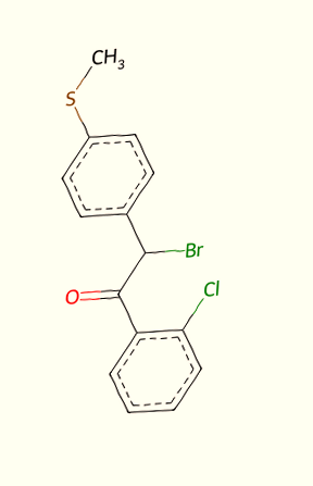 CSc1ccc(C(Br)C(=O)c2ccccc2Cl)cc1